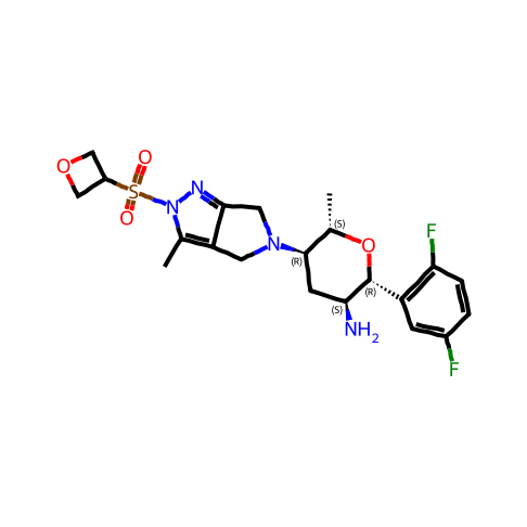 Cc1c2c(nn1S(=O)(=O)C1COC1)CN([C@@H]1C[C@H](N)[C@@H](c3cc(F)ccc3F)O[C@H]1C)C2